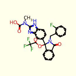 CN(C(=O)O)c1nc2cc(C3(OC(=O)C(F)(F)F)c4ccccc4C(=O)N3Cc3ccccc3F)ccc2[nH]1